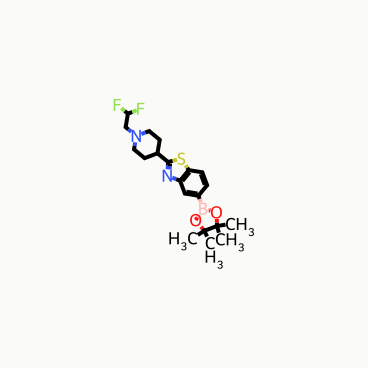 CC1(C)OB(c2ccc3sc(C4CCN(CC(F)F)CC4)nc3c2)OC1(C)C